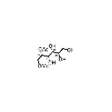 COC[C@H](OC(C)=O)[C@@H](O)[C@H](O)[C@H](O)CO